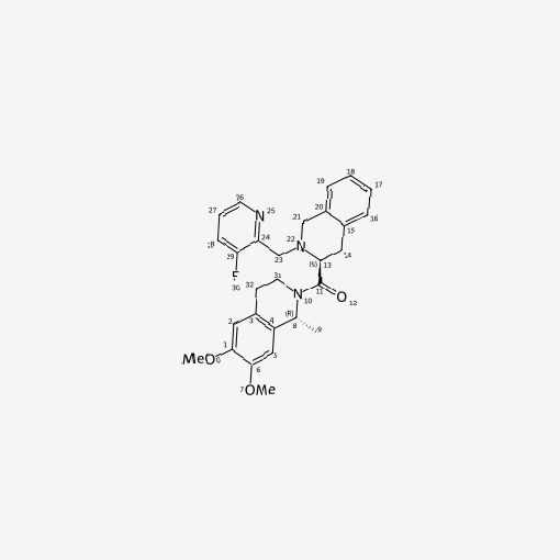 COc1cc2c(cc1OC)[C@@H](C)N(C(=O)[C@@H]1Cc3ccccc3CN1Cc1ncccc1F)CC2